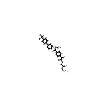 COC(=O)CCNC(=O)c1ccc(C(Oc2ccc(-c3ccc(C(F)(F)F)cc3)cc2)C(C)C)cc1